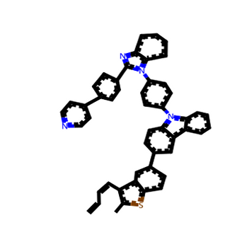 C=C/C=C\c1c(C)sc2ccc(-c3ccc4c(c3)c3ccccc3n4-c3ccc(-n4c(-c5ccc(-c6ccncc6)cc5)nc5ccccc54)cc3)cc12